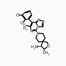 Cc1nc(N2CCC3(CC2)CO[C@@H](C)[C@H]3N)n2cnnc2c1-c1cccc(Cl)c1Cl